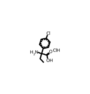 CCC(N)(C(=O)O)c1ccc(Cl)cc1.Cl